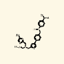 CCC(CC)c1ccc(N(Cc2ccc(-c3csc(CN(CC(=O)O)Cc4ncc(C(C)(C)C)s4)c3)cc2)C(C)C)cc1